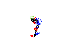 COc1ccc(F)c(F)c1C(=O)c1cnc(NC2CCN(S(=O)(=O)CCCNC(C)(C)CO)CC2)nc1N